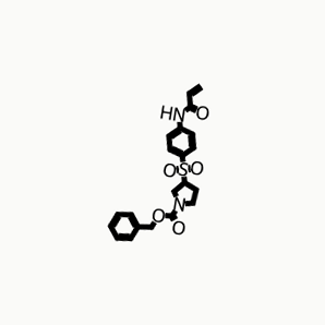 C=CC(=O)Nc1ccc(S(=O)(=O)C2CCN(C(=O)OCc3ccccc3)C2)cc1